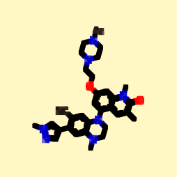 CC(=O)N1CCN(CCOc2cc(N3CCN(C)c4cc(-c5cnn(C)c5)c(C#N)cc43)c3cc(C)c(=O)n(C)c3c2)CC1